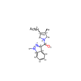 CC(=O)N[C@@H]1CN(C(=O)c2nn(C)c3ccccc23)C[C@@H]1C